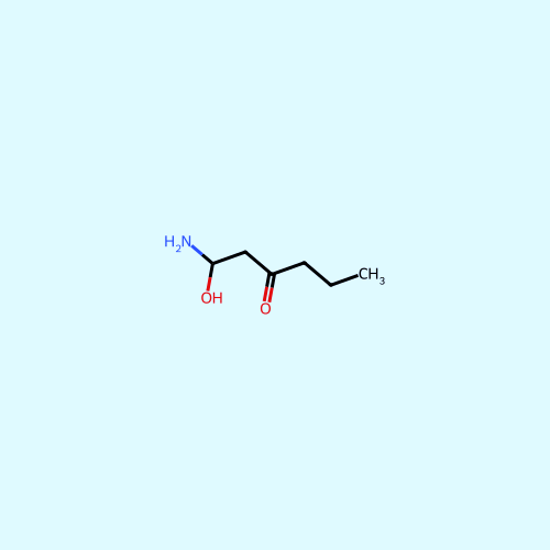 CCCC(=O)CC(N)O